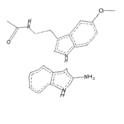 COc1ccc2[nH]cc(CCNC(C)=O)c2c1.Nc1cc2ccccc2[nH]1